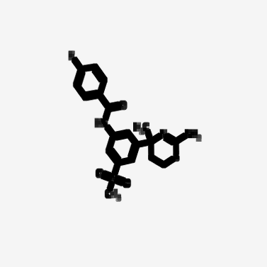 CC1(c2cc(NC(=O)c3ccc(F)cc3)cc(S(C)(=O)=O)c2)CCSC(N)=N1